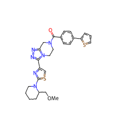 COCC1CCCCN1c1nc(-c2nnc3n2CCN(C(=O)c2ccc(-c4cccs4)cc2)C3)cs1